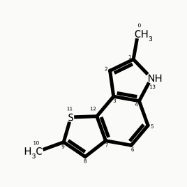 Cc1cc2c(ccc3cc(C)sc32)[nH]1